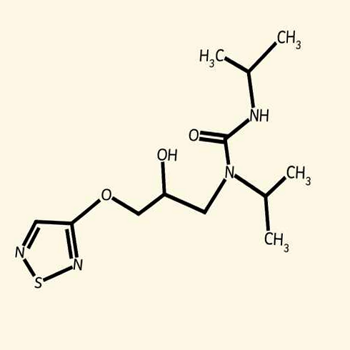 CC(C)NC(=O)N(CC(O)COc1cnsn1)C(C)C